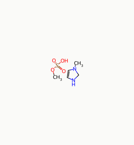 CN1C=CNC1.COS(=O)(=O)O